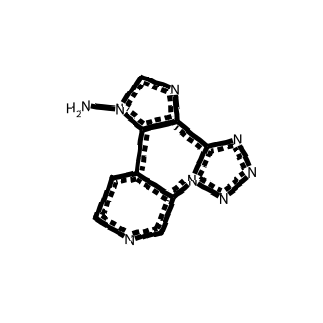 Nn1cnc2c1c1ccncc1n1nnnc21